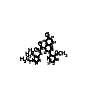 CCn1ncc(CN(C)C(=O)c2cc(-c3ncccc3OC)nc3ccc(Cl)cc23)c1C